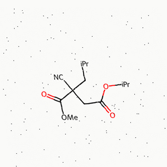 COC(=O)C(C#N)(CC(=O)OC(C)C)CC(C)C